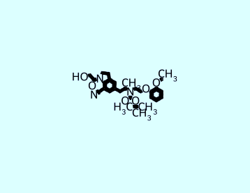 CCOc1ccccc1OCCN(C(=O)OC(C)(C)C)C(C)Cc1cc(C#N)c2c(c1)CCN2C(=O)CO